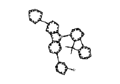 CC1(C)c2ccccc2-c2cccc(-n3c4ccc(-c5ccccc5)cc4c4ccc(-c5cccc(Br)c5)cc43)c21